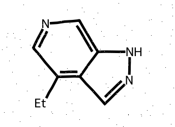 CCc1cncc2[nH]ncc12